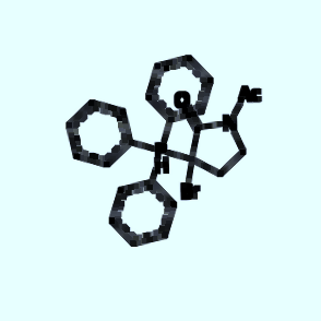 CC(=O)N1CCC(Br)([PH](c2ccccc2)(c2ccccc2)c2ccccc2)C1=O